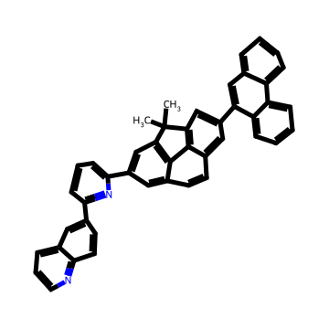 CC1(C)c2cc(-c3cccc(-c4ccc5ncccc5c4)n3)cc3ccc4cc(-c5cc6ccccc6c6ccccc56)cc1c4c23